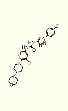 O=C(Nc1cnc(N2CCC(N3CCOCC3)CC2)c(Cl)c1)Nc1cn(-c2ccc(Cl)cc2)nn1